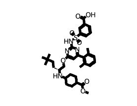 COC(=O)C1CCC(N[C@H](CCC(C)(C)C)COc2cc(-c3c(C)cccc3C)nc(NS(=O)(=O)c3cccc(C(=O)O)c3)n2)CC1